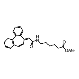 COC(=O)CCCCCNC(=O)C=C1C=CC2=C(CCC=C2)c2ccccc21